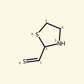 S=CC1NCCS1